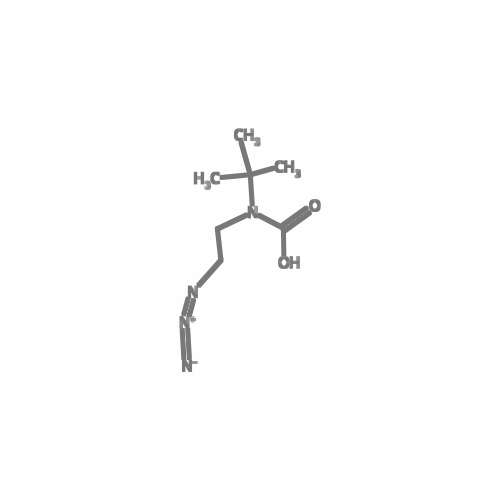 CC(C)(C)N(CCN=[N+]=[N-])C(=O)O